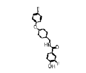 O=C(NCC1CCC(Oc2ccc(F)cc2)CC1)c1ccc(O)c(F)c1